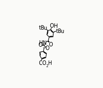 CC(C)(C)c1cc(C(=O)NS(=O)(=O)c2ccc(C(=O)O)cc2)cc(C(C)(C)C)c1O